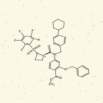 COC(=O)c1ccc(N(Cc2ccc(C3CCCCC3)cn2)C(=O)[C@H]2CCN2S(=O)(=O)c2c(F)c(F)c(F)c(F)c2F)cc1OCc1ccccc1